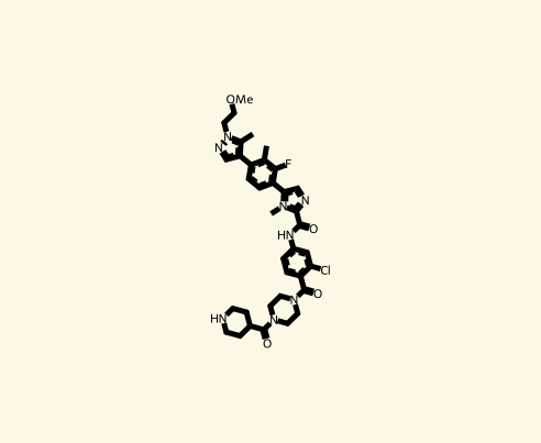 COCCn1ncc(-c2ccc(-c3cnc(C(=O)Nc4ccc(C(=O)N5CCN(C(=O)C6CCNCC6)CC5)c(Cl)c4)n3C)c(F)c2C)c1C